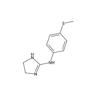 CSc1ccc(NC2=NCCN2)cc1